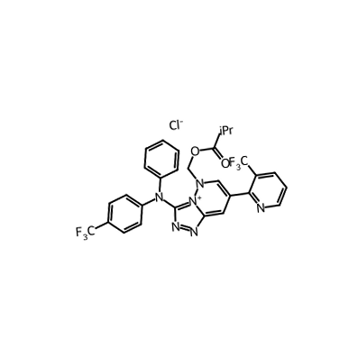 CC(C)C(=O)OCn1cc(-c2ncccc2C(F)(F)F)cc2nnc(N(c3ccccc3)c3ccc(C(F)(F)F)cc3)[n+]1-2.[Cl-]